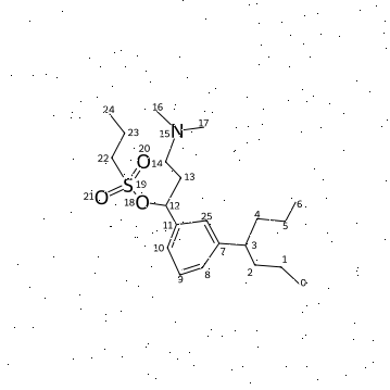 CCCC(CCC)c1cccc(C(CCN(C)C)OS(=O)(=O)CCC)c1